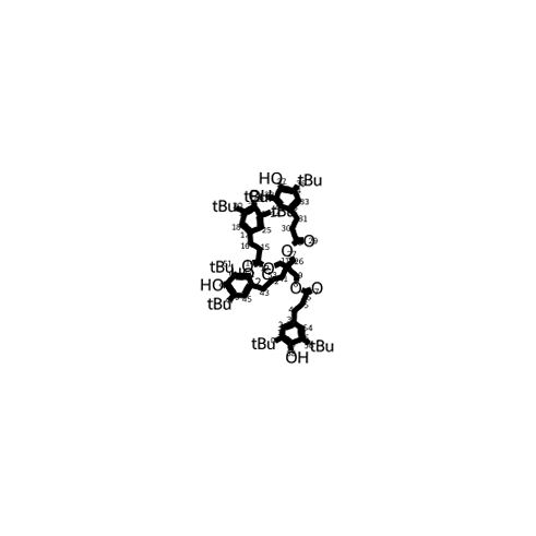 CC(C)(C)c1cc(CCC(=O)OCC(COC(=O)CCc2cc(C(C)(C)C)c(O)c(C(C)(C)C)c2)(COC(=O)CCc2cc(C(C)(C)C)c(O)c(C(C)(C)C)c2)CC(Cc2cc(C(C)(C)C)c(O)c(C(C)(C)C)c2)C(=O)O)cc(C(C)(C)C)c1O